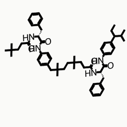 CCC(c1ccc(NC(=O)[C@H](Cc2ccccc2)NC(=O)CCC(C)(C)CCC(C)(C)Cc2ccc(NC(=O)[C@@H](Cc3ccccc3)NC(=O)CCC(C)(C)C)cc2)cc1)C(C)C